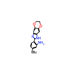 CC(C)(C)c1ccc(-c2nc3cc4c(cc3[nH]2)OCCO4)c(N)c1